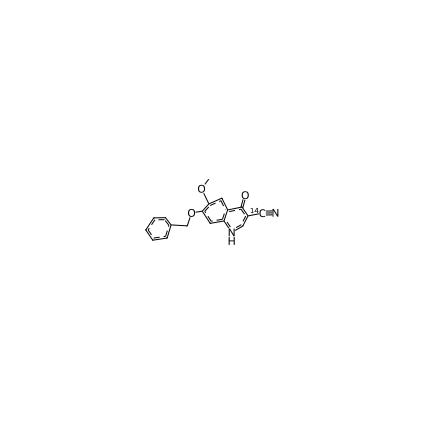 COc1cc2c(=O)c([14C]#N)c[nH]c2cc1OCc1ccccc1